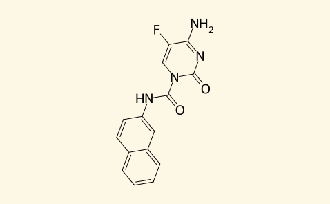 Nc1nc(=O)n(C(=O)Nc2ccc3ccccc3c2)cc1F